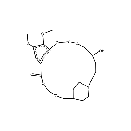 COc1cc2cc(c1OC)OCCCC(O)CCN1CCC(CCCOC2=O)CC1